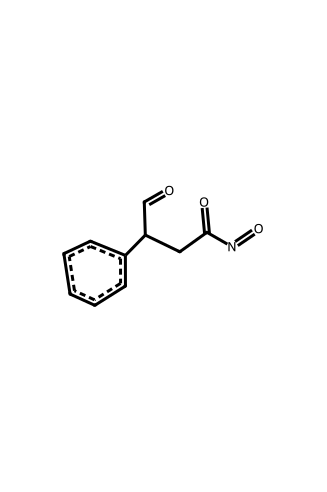 O=CC(CC(=O)N=O)c1ccccc1